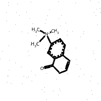 C[N+](C)(C)c1ccc2c(c1)C(=O)CC=C2